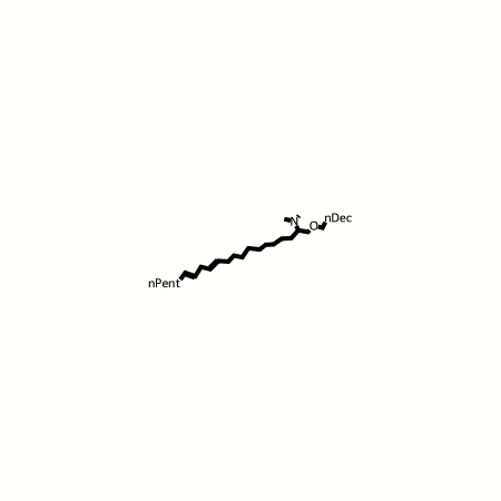 CCCCCC=CCC=CCCCCCCCCCC(COCCCCCCCCCCC)N(C)C